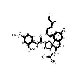 C=C(/C=C\C=C(\Cl)CF)[C@H]1[C@H](C(=O)Nc2ccc(C(=O)OCC)cc2OC)N[C@@H](C[C@H](C)C(F)(F)F)[C@@]12C(=O)Nc1cc(Cl)ccc12